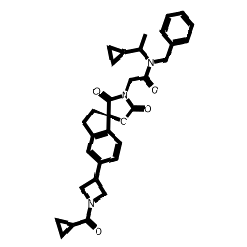 CC(C1CC1)N(Cc1ccccc1)C(=O)CN1C(=O)O[C@@]2(CCc3cc(C4CN(C(=O)C5CC5)C4)ccc32)C1=O